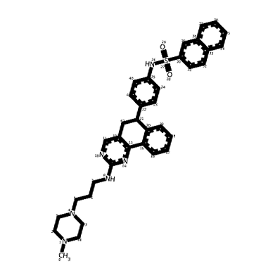 CN1CCN(CCCNc2ncc3c(n2)-c2ccccc2C(c2ccc(NS(=O)(=O)c4ccc5ccccc5c4)cc2)C3)CC1